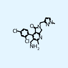 Cc1nc2c(c(-c3ccc(Cl)cc3Cl)c1CN)C(=O)N(Cc1ccn(C)n1)C2